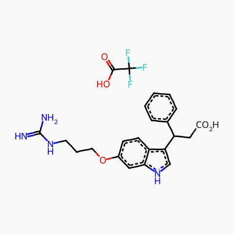 N=C(N)NCCCOc1ccc2c(C(CC(=O)O)c3ccccc3)c[nH]c2c1.O=C(O)C(F)(F)F